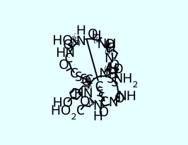 CC1CSSCC2C(=O)[C@H](Cc3ccc(O)cc3)NC(=O)[C@H](CCC(=O)O)NC(=O)C3CSSCC(N[C@@H]([C@@H](C)O)C(=O)NCC1=O)C(=O)[C@H](C)NC(=O)[C@@H]1CCCN1C(=O)[C@H](CC(N)=O)NC2CSSCC1NCN3C1=O